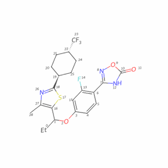 CCC(Oc1ccc(-c2noc(=O)[nH]2)c(F)c1)c1sc([C@H]2CC[C@H](C(F)(F)F)CC2)nc1C